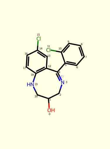 OC1C/N=C(/c2ccccc2Cl)c2cc(Cl)ccc2NC1